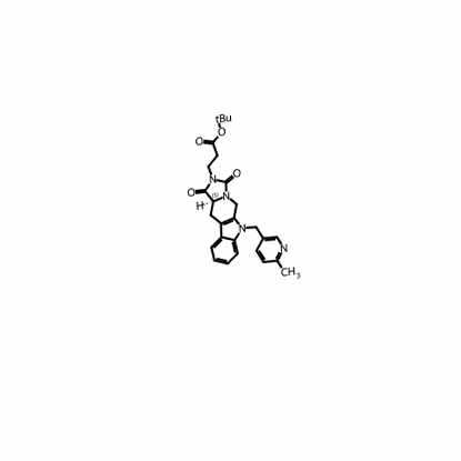 Cc1ccc(Cn2c3c(c4ccccc42)C[C@H]2C(=O)N(CCC(=O)OC(C)(C)C)C(=O)N2C3)cn1